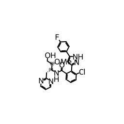 CO[C@@H](CO)[C@@H](Cc1ncccn1)NC(=O)c1cccc(Cl)c1-c1cc(-c2ccc(F)cc2)[nH]n1